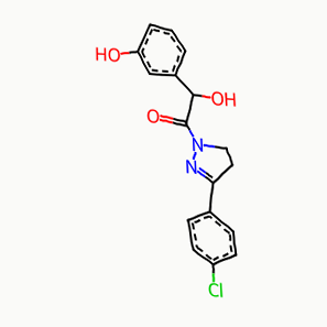 O=C(C(O)c1cccc(O)c1)N1CCC(c2ccc(Cl)cc2)=N1